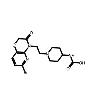 O=C(O)NC1CCN(CCN2C(=O)COc3ccc(Br)nc32)CC1